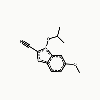 COc1ccc2nc(C#N)n(OC(C)C)c2c1